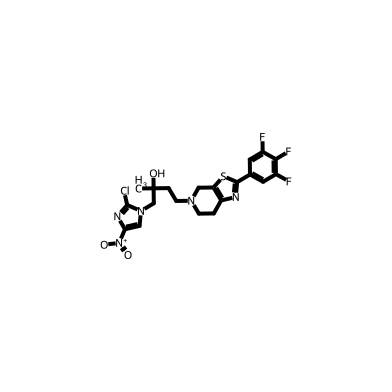 CC(O)(CCN1CCc2nc(-c3cc(F)c(F)c(F)c3)sc2C1)Cn1cc([N+](=O)[O-])nc1Cl